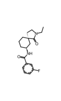 CCN1CC[C@]2(CCC[C@H](NC(=O)c3cccc(F)c3)C2)C1=O